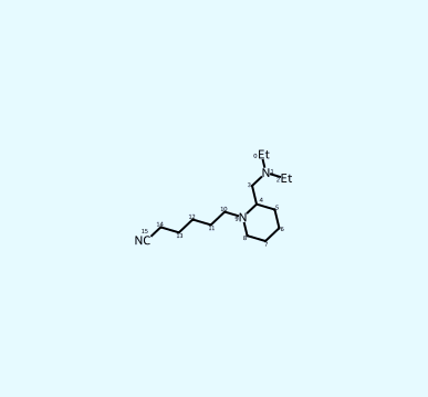 CCN(CC)CC1CCCCN1CCCCCC#N